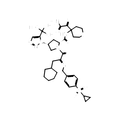 CC(C)(O)c1cnnn1[C@H]1C[C@@H](C(=O)NC2(C(=O)C(N)=O)CCSCC2)N(C(=O)/C(CC2CCCCC2)=N/C(=O)c2ccc(S(=O)(=O)C3CC3)cc2)C1